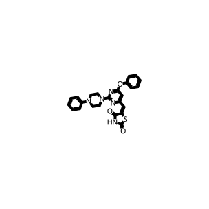 O=C1NC(=O)/C(=C\c2cc(Oc3ccccc3)nc(N3CCN(c4ccccc4)CC3)n2)S1